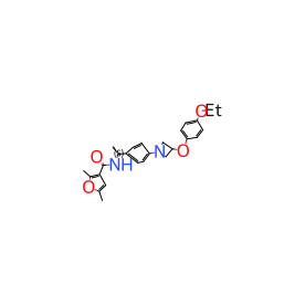 CCOc1ccc(OC2CN(c3ccc([C@H](C)NC(=O)c4cc(C)oc4C)cc3)C2)cc1